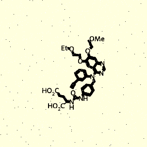 C#Cc1cccc(N(Cc2ccc(NC(=O)N[C@@H](CCC(=O)O)C(=O)O)cc2)c2ncnc3cc(OCCOC)c(OCCOCC)cc23)c1